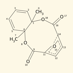 CC12C=CC=CC1(C)OC(=O)c1ccc(o1)C(=O)O2